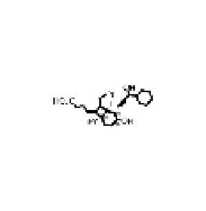 CC(C)CC1C(=CCCC(=O)O)[C@]2(C(C)C)CC[C@H](O)[C@@H](C#CC(O)C3CCCCC3)[C@H]12